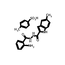 Cc1ccc(S(=O)(=O)O)cc1.Cc1ccc2[nH]c(C(=O)NNC(=O)c3ccccc3N)cc2c1